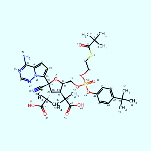 CC(C)(C)C(=O)SCCOP(=O)(OC[C@@H]1O[C@@](C#N)(c2ccc3c(N)ncnn23)[C@@H](C(C)(C)C(=O)O)[C@@H]1C(C)(C)C(=O)O)Oc1ccc(C(C)(C)C)cc1